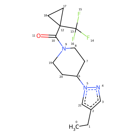 CCc1cnn(C2CCN(C(=O)C3(C(F)(F)F)CC3)CC2)c1